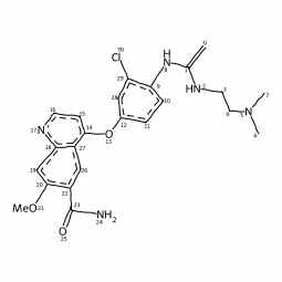 C=C(NCCN(C)C)Nc1ccc(Oc2ccnc3cc(OC)c(C(N)=O)cc23)cc1Cl